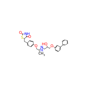 CC(COc1ccc(CC2SC(=O)NC2=O)cc1)NCC(O)COc1cccc(-c2ccccc2)c1